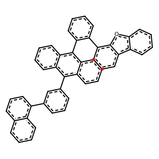 c1cc(-c2cccc3ccccc23)cc(-c2c3ccccc3c(-c3ccccc3-c3cccc4c3oc3ccccc34)c3ccccc23)c1